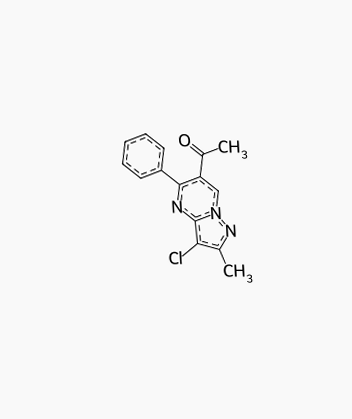 CC(=O)c1cn2nc(C)c(Cl)c2nc1-c1ccccc1